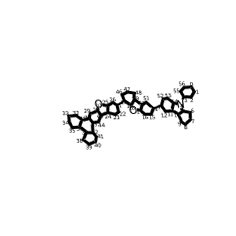 c1ccc(-n2c3ccccc3c3cc(-c4ccc5oc6c(-c7ccc8c(c7)oc7cc9c%10ccccc%10c%10ccccc%10c9cc78)cccc6c5c4)ccc32)cc1